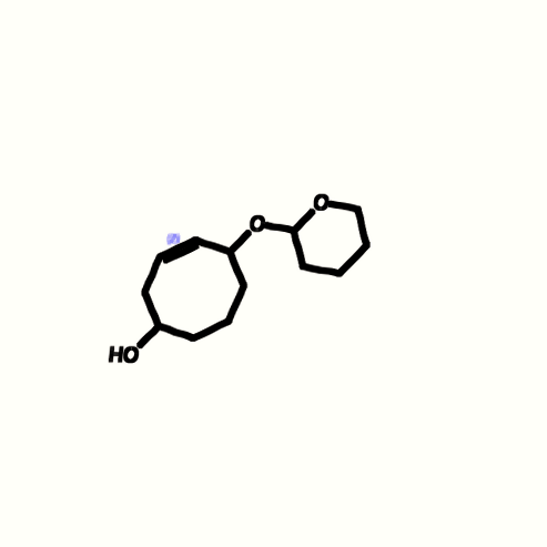 OC1C/C=C\C(OC2CCCCO2)CCC1